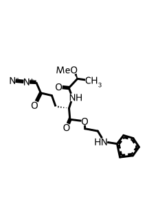 CO[C@@H](C)C(=O)N[C@@H](CCC(=O)C=[N+]=[N-])C(=O)OCCNc1ccccc1